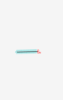 O=C(O)C(F)(F)C(F)(F)C(F)(F)C(F)(F)C(F)(F)C(F)(F)C(F)(F)C(F)(F)C(F)(F)C(F)(F)C(F)(F)C(F)(F)C(F)(F)C(F)(F)C(F)(F)C(F)(F)C(F)(F)F